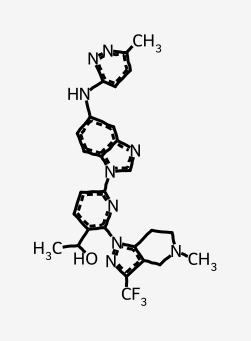 Cc1ccc(Nc2ccc3c(c2)ncn3-c2ccc(C(C)O)c(-n3nc(C(F)(F)F)c4c3CCN(C)C4)n2)nn1